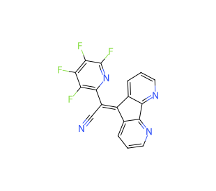 N#CC(=C1c2cccnc2-c2ncccc21)c1nc(F)c(F)c(F)c1F